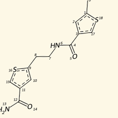 Cc1cc(C(=O)NCCc2cc(C(N)=O)cs2)cs1